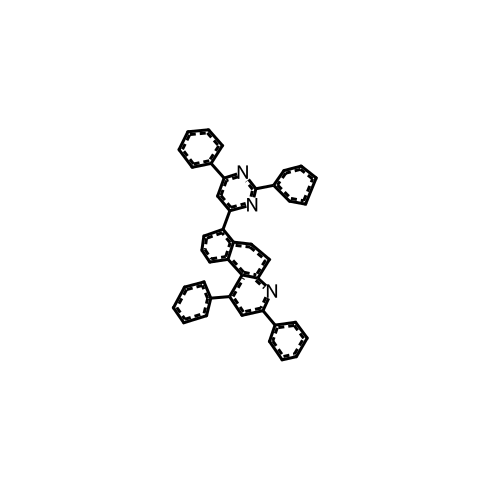 c1ccc(-c2cc(-c3cccc4c3ccc3nc(-c5ccccc5)cc(-c5ccccc5)c34)nc(-c3ccccc3)n2)cc1